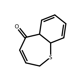 O=C1C=CCSC2C=CC=CC12